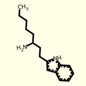 CCCCCC(N)CCc1cc2ccccc2[nH]1